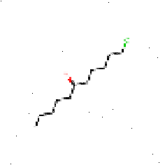 CCCCCC(=O)CCCCCCl